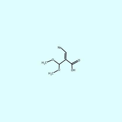 COC(OC)/C(=[CH]\[Na])C(=O)O